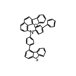 c1ccc(-c2ccc(N(c3ccc(-c4cccc5sc6ccccc6c45)cc3)c3cccc4ccc5c6ccccc6oc5c34)cc2)cc1